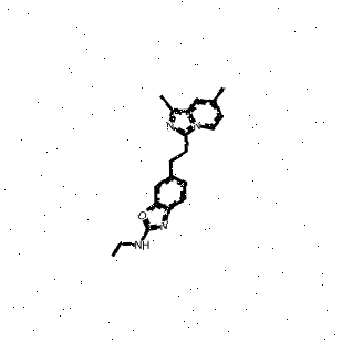 CCNc1nc2ccc(CCc3nc(C)c4cc(C)ccn34)cc2o1